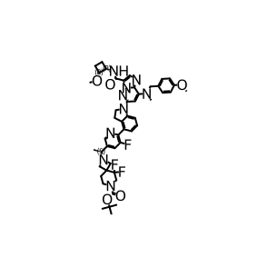 COc1ccc(CN(C)c2cc(N3CCc4c(-c5ncc([C@H](C)N6CC7(CCN(C(=O)OC(C)(C)C)CC7(F)F)C6)cc5F)cccc43)nn3c(C(=O)N[C@@H]4CC[C@H]4OC)cnc23)cc1